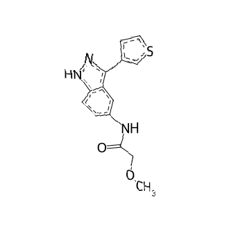 COCC(=O)Nc1ccc2[nH]nc(-c3ccsc3)c2c1